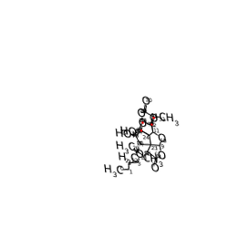 CCCCO[C@H]1C(=O)OC2OC34C(=O)OC5[C@H](O)[C@@H](C(C)(C)C)C21C53[C@@H](O)C1OC(=O)C(C)=C14